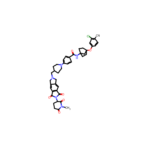 CN1C(=O)CCC(N2C(=O)c3cc4c(cc3C2=O)CN(CC2CCN(c3ccc(C(=O)NC56CCC(Oc7ccc(C#N)c(Cl)c7)(CC5)C6)cc3)CC2)C4)C1=O